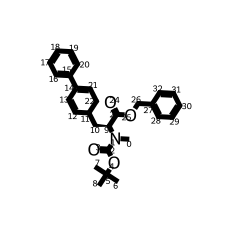 CN(C(=O)OC(C)(C)C)[C@@H](CC1C=CC(c2ccccc2)=CC1)C(=O)OCc1ccccc1